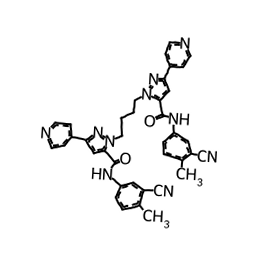 Cc1ccc(NC(=O)c2cc(-c3ccncc3)nn2CCCCn2nc(-c3ccncc3)cc2C(=O)Nc2ccc(C)c(C#N)c2)cc1C#N